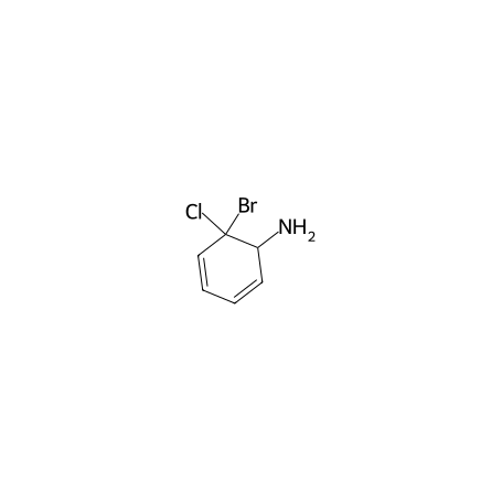 NC1C=CC=CC1(Cl)Br